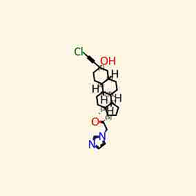 C[C@]12CC[C@H]3[C@@H](CC[C@H]4C[C@](O)(C#CCl)CC[C@@H]43)[C@@H]1CC[C@@H]2C(=O)Cn1ccnc1